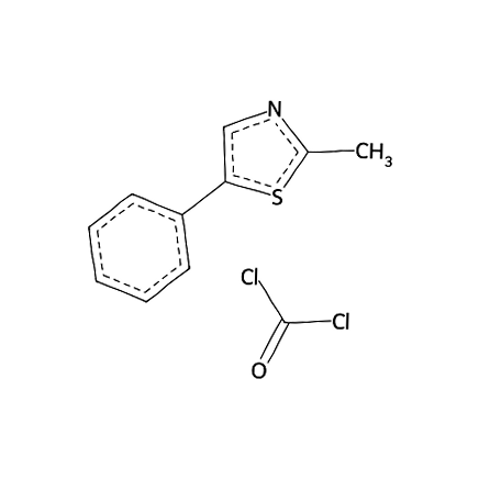 Cc1ncc(-c2ccccc2)s1.O=C(Cl)Cl